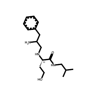 CC(C)CNC(=O)[C@H](CCO)NCC(N)Cc1ccccc1